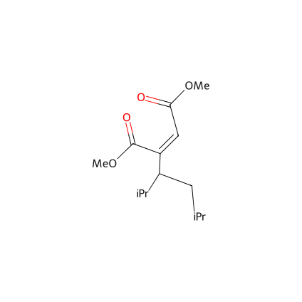 COC(=O)/C=C(\C(=O)OC)C(CC(C)C)C(C)C